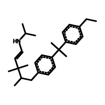 CCc1ccc(C(C)(C)c2ccc(CC(C)C(C)(C)C=CNC(C)C)cc2)cc1